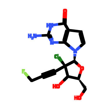 Nc1nc2c(ccn2[C@@H]2O[C@H](CO)C(O)[C@]2(Cl)C#CCF)c(=O)[nH]1